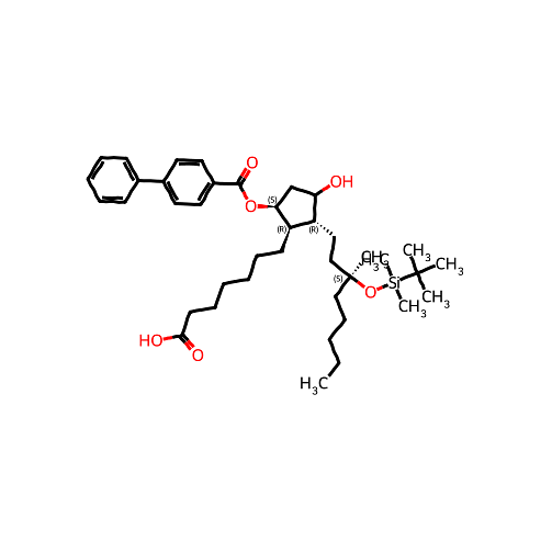 CCCCC[C@@](C)(CC[C@H]1C(O)C[C@H](OC(=O)c2ccc(-c3ccccc3)cc2)[C@@H]1CCCCCCC(=O)O)O[Si](C)(C)C(C)(C)C